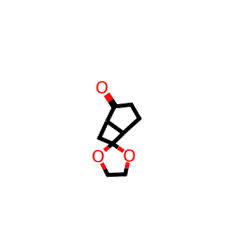 O=C1CCC2C1CC21OCCO1